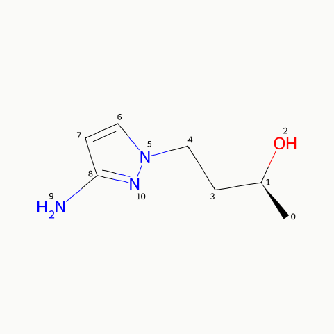 C[C@H](O)CCn1ccc(N)n1